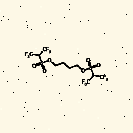 O=S(=O)(OCCCCOS(=O)(=O)C(C(F)(F)F)C(F)(F)F)C(C(F)(F)F)C(F)(F)F